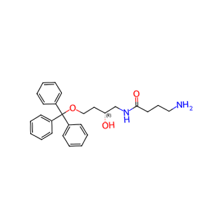 NCCCC(=O)NC[C@H](O)CCOC(c1ccccc1)(c1ccccc1)c1ccccc1